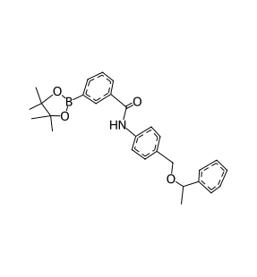 CC(OCc1ccc(NC(=O)c2cccc(B3OC(C)(C)C(C)(C)O3)c2)cc1)c1ccccc1